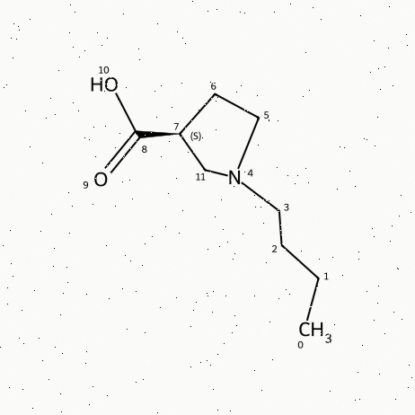 CCCCN1CC[C@H](C(=O)O)C1